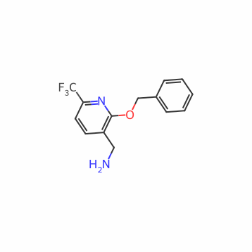 NCc1ccc(C(F)(F)F)nc1OCc1ccccc1